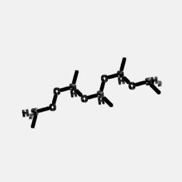 C[SiH2]OO[SiH](C)O[SiH](C)O[SiH](C)O[SiH2]C